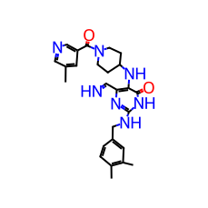 Cc1cncc(C(=O)N2CCC(Nc3c(C=N)nc(NCc4ccc(C)c(C)c4)[nH]c3=O)CC2)c1